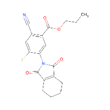 CCCOC(=O)c1cc(N2C(=O)C3=C(CCCC3)C2=O)c(F)cc1C#N